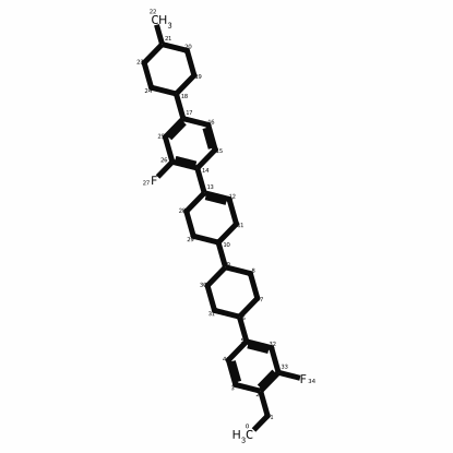 CCc1ccc(C2CCC(C3CC=C(c4ccc(C5CCC(C)CC5)cc4F)CC3)CC2)cc1F